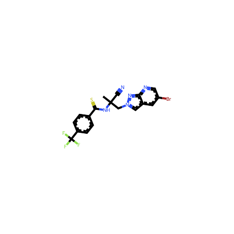 CC(C#N)(Cn1cc2cc(Br)cnc2n1)NC(=S)c1ccc(C(F)(F)F)cc1